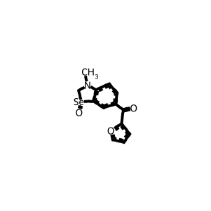 CN1C[Se](=O)c2cc(C(=O)c3ccco3)ccc21